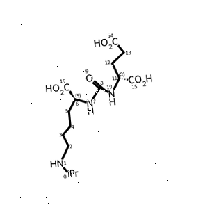 CC(C)NCCCC[C@H](NC(=O)N[C@H](CCC(=O)O)C(=O)O)C(=O)O